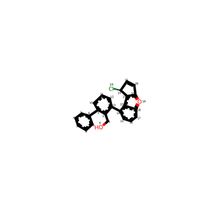 OCc1c(-c2ccccc2)cccc1-c1cccc2oc3c(c12)[C@@H](Cl)C=C3